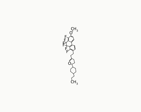 CCCC1CCC(C2CCC(CCc3ccc4c(c3F)C(F)(F)C(F)(F)c3c-4ccc(OCC)c3F)=CO2)CC1